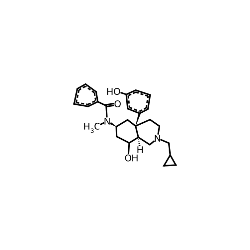 CN(C(=O)c1ccccc1)[C@@H]1CC(O)[C@@H]2CN(CC3CC3)CC[C@@]2(c2cccc(O)c2)C1